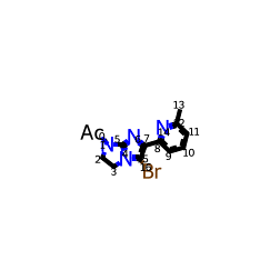 CC(=O)N1CCn2c1nc(-c1cccc(C)n1)c2Br